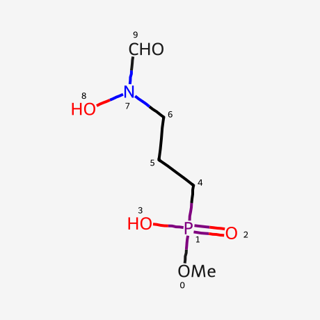 COP(=O)(O)CCCN(O)C=O